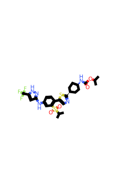 CC(C)OC(=O)N[C@H]1CC[C@H](c2ncc(-c3ccc(Nc4cc(C(F)(F)F)[nH]n4)cc3S(=O)(=O)C(C)C)s2)CC1